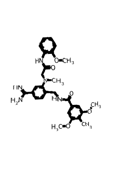 COc1ccccc1NC(=O)CN(C)c1cc(C(=N)N)ccc1CNC(=O)c1cc(OC)c(C)c(OC)c1